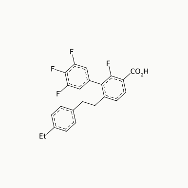 CCc1ccc(CCc2ccc(C(=O)O)c(F)c2-c2cc(F)c(F)c(F)c2)cc1